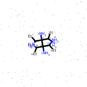 CCC(N)C(N)(C(N)CC)C(N)(C(N)CC)C(N)CC